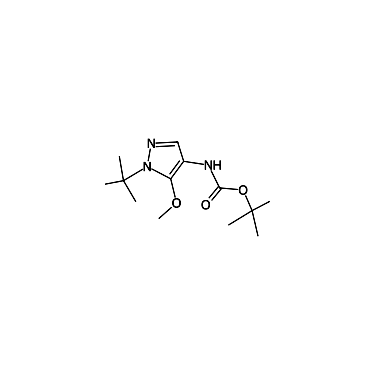 COc1c(NC(=O)OC(C)(C)C)cnn1C(C)(C)C